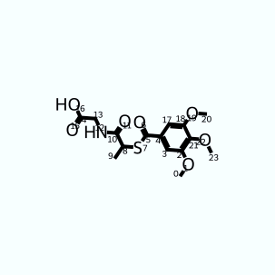 COc1cc(C(=O)SC(C)C(=O)NCC(=O)O)cc(OC)c1OC